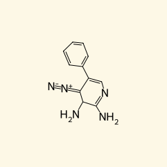 [N-]=[N+]=C1C(c2ccccc2)=CN=C(N)C1N